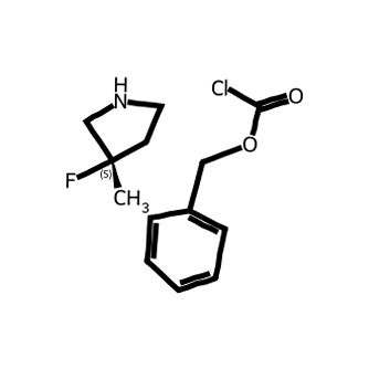 C[C@]1(F)CCNC1.O=C(Cl)OCc1ccccc1